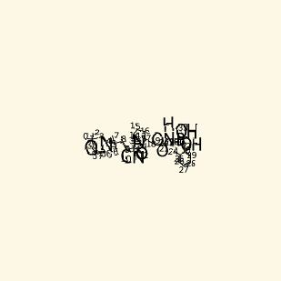 CC1(C)CN(C(C)(C)C=C(C#N)C(=O)N2C3CCC2(COC(=O)N[C@@H](Cc2ccccc2)B(O)O)CC3)CCO1